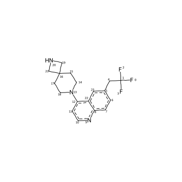 FC(F)(F)Cc1ccc2nccc(N3CCC4(CC3)CNC4)c2c1